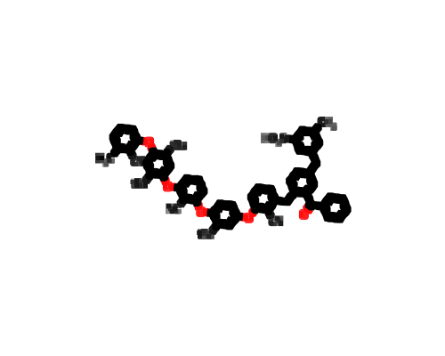 Cc1cc(Cc2ccc(Cc3cccc(Oc4ccc(Oc5cccc(Oc6cc(C(C)(C)C)c(Oc7cccc(C)c7C#N)cc6C(C)(C)C)c5C#N)c(C(C)(C)C)c4)c3C#N)c(C(=O)c3ccccc3)c2)cc(S(=O)(=O)O)c1